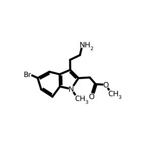 COC(=O)Cc1c(CCN)c2cc(Br)ccc2n1C